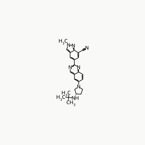 Cn1cc2cc(-c3ncc4cc(N5CC[C@H](NC(C)(C)C)C5)ccc4n3)cc(C#N)c2n1